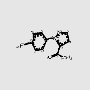 CC(=O)c1ccnn1-c1ccc(F)cc1